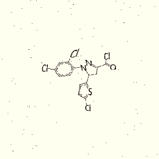 O=C(Cl)C1=NN(c2ccc(Cl)cc2Cl)C(c2ccc(Cl)s2)C1